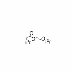 CC(C)CC(=O)OCCOC(C)C